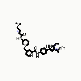 C/C=c1/[nH]c(-c2ccc(NC(=O)c3cc(CN4CCCC(NC(=O)/C=C/CN(C)C)C4)ccn3)cc2)c/c1=C(\C)CCC